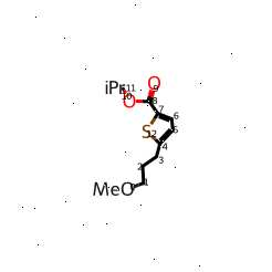 COCCCc1ccc(C(=O)OC(C)C)s1